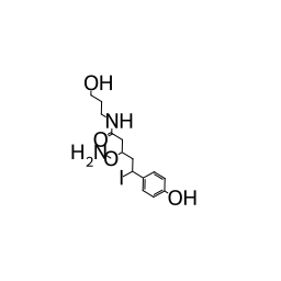 NOC(CC(=O)NCCCO)CC(I)c1ccc(O)cc1